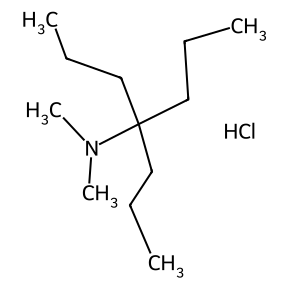 CCCC(CCC)(CCC)N(C)C.Cl